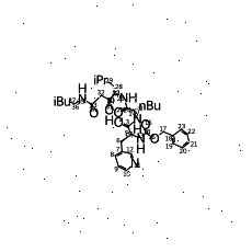 CCCC[C@H](NC(=O)[C@H](Cc1cccnc1)NC(=O)OCc1ccccc1)C(=O)N[C@@H](CC(C)C)[C@@H](O)CC(=O)NCC(C)CC